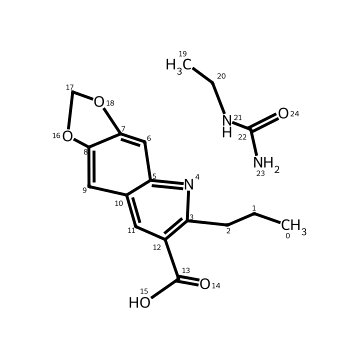 CCCc1nc2cc3c(cc2cc1C(=O)O)OCO3.CCNC(N)=O